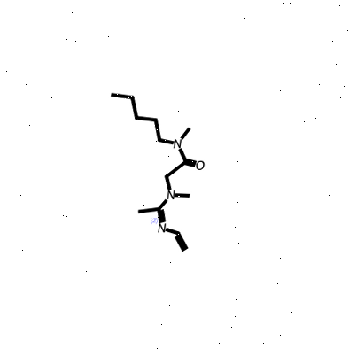 C=C/N=C(/C)N(C)CC(=O)N(C)CCCCC